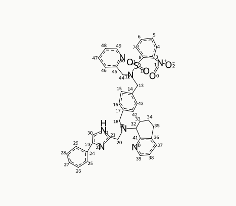 O=[N+]([O-])c1ccccc1S(=O)(=O)N(Cc1ccc(CN(Cc2nc(-c3ccccc3)c[nH]2)C2CCCc3cccnc32)cc1)Cc1ccccn1